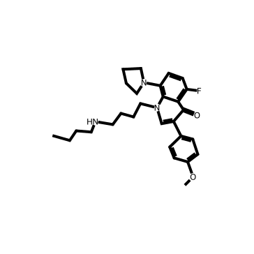 CCCCNCCCCn1cc(-c2ccc(OC)cc2)c(=O)c2c(F)ccc(N3CCCC3)c21